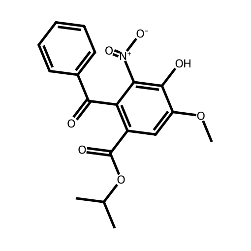 COc1cc(C(=O)OC(C)C)c(C(=O)c2ccccc2)c([N+](=O)[O-])c1O